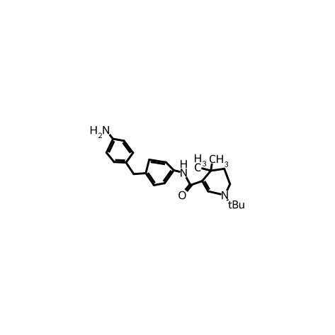 CC1(C)CCN(C(C)(C)C)C=C1C(=O)Nc1ccc(Cc2ccc(N)cc2)cc1